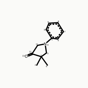 CC1(C)CN(c2ccccc2)CC1=O